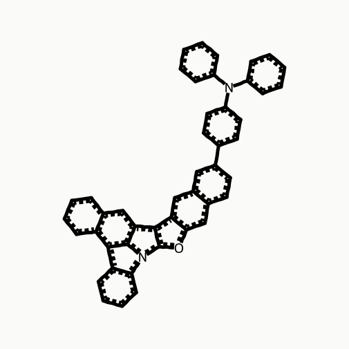 c1ccc(N(c2ccccc2)c2ccc(-c3ccc4cc5oc6c(c5cc4c3)c3cc4ccccc4c4c5ccccc5n6c34)cc2)cc1